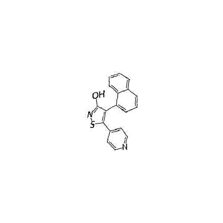 Oc1nsc(-c2ccncc2)c1-c1cccc2ccccc12